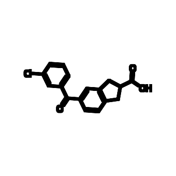 O=C(c1cccc(Cl)c1)c1ccc2c(c1)CC(C(=O)O)C2